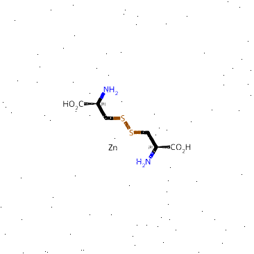 N[C@@H](CSSC[C@H](N)C(=O)O)C(=O)O.[Zn]